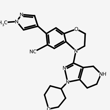 Cn1cc(-c2cc3c(cc2C#N)N(c2nn(C4CCOCC4)c4c2CNCC4)CCO3)cn1